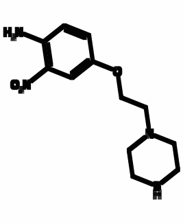 Nc1ccc(OCCN2CCBCC2)cc1[N+](=O)[O-]